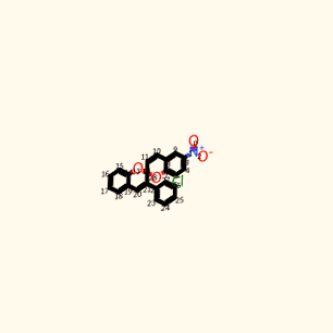 O=[N+]([O-])c1cc(Cl)c2c(c1)C=CC1(Oc3ccccc3C=C1c1ccccc1)O2